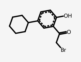 O=C(CBr)c1cc(C2CCCCC2)ccc1O